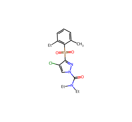 CCc1cccc(C)c1S(=O)(=O)c1nn(C(=O)N(CC)CC)cc1Cl